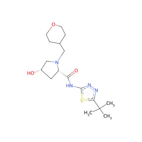 CC(C)(C)c1nnc(NC(=O)[C@@H]2C[C@H](O)CN2CC2CCOCC2)s1